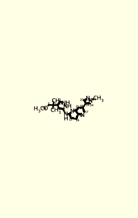 COCC(C)(C)C1=CNNC(Nc2ccc3ncc(-c4cnn(C)c4)cc3n2)=C1